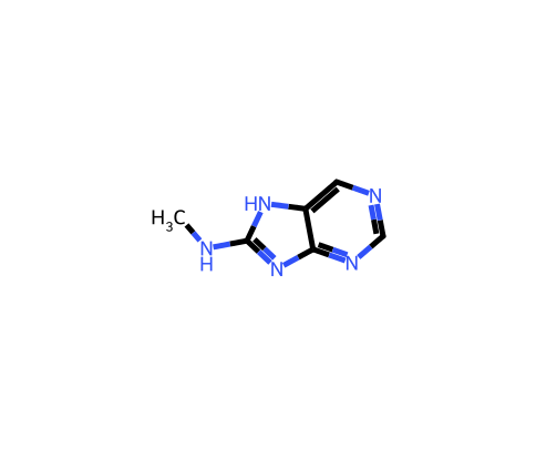 CNc1nc2ncncc2[nH]1